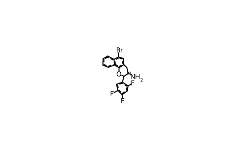 N[C@H]1Cc2cc(Br)c3ccccc3c2OC1c1cc(F)c(F)cc1F